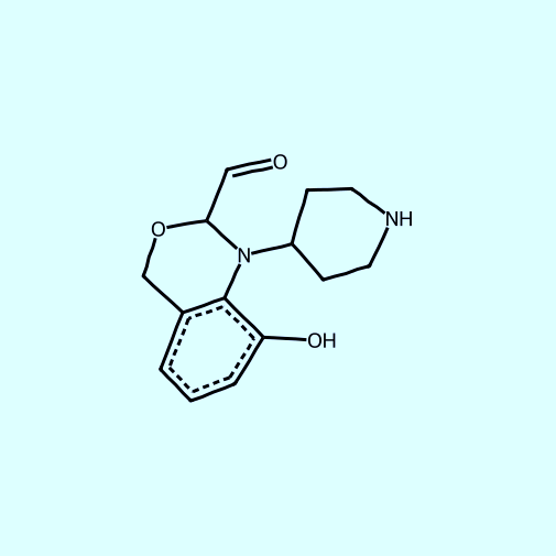 O=CC1OCc2cccc(O)c2N1C1CCNCC1